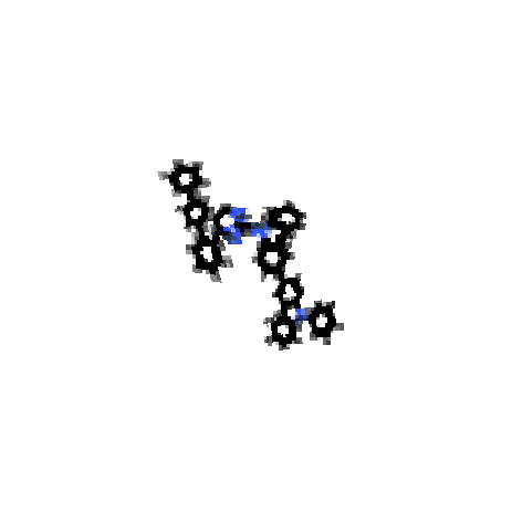 C1=CC2C(C=C1c1ccc3c(c1)c1ccccc1n3-c1nccc(-c3ccccc3-c3ccc(-c4ccccc4)cc3)n1)c1ccccc1N2c1ccccc1